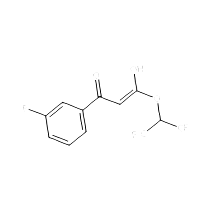 O=C(/C=C(\O)OC(C(F)(F)F)C(F)(F)F)c1cccc(F)c1